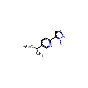 COC(c1ccc(-c2ccnn2C)nc1)C(F)(F)F